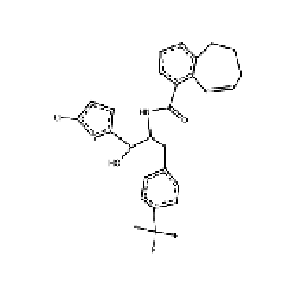 O=C(NC(Cc1ccc(C(F)(F)F)cc1)C(O)c1ccc(Cl)s1)c1cccc2c1C=CCCC2